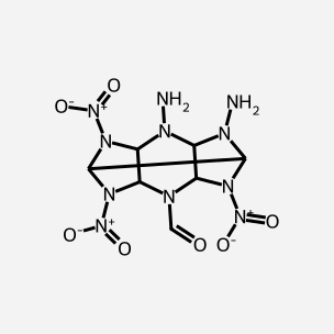 NN1C2C3N(C=O)C4C(N2N)N([N+](=O)[O-])C(C1N3[N+](=O)[O-])N4[N+](=O)[O-]